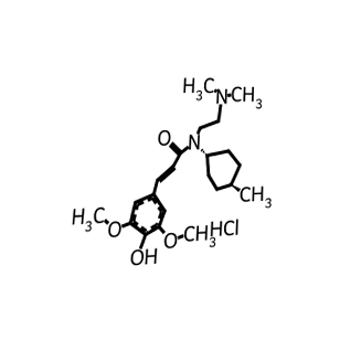 COc1cc(/C=C/C(=O)N(CCN(C)C)[C@H]2CC[C@H](C)CC2)cc(OC)c1O.Cl